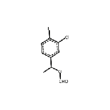 CC(OC=O)c1ccc(F)c(Cl)c1